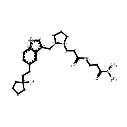 CN(C)C(=O)CCNC(=O)CCN1CCC[C@@H]1Cc1c[nH]c2ccc(CCC3(O)CCCC3)cc12